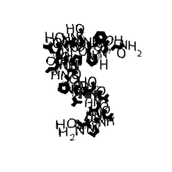 CC[C@H](C)[C@H](NC(=O)[C@@H]1CCCN1C(=O)CNC(=O)[C@@H]1CCCN1C(=O)[C@H](CC(C)C)NC(=O)[C@@H](NC(=O)[C@@H](NC(=O)[C@@H](NC(=O)[C@@H](NC(=O)[C@@H]1CCCN1C(=O)[C@@H](N)CO)C(C)C)C(C)C)C(C)C)[C@@H](C)O)C(=O)N[C@@H](CC(C)C)C(=O)N[C@@H](CO)C(=O)N[C@@H](CO)C(=O)N[C@@H](Cc1ccccc1)C(=O)N1CCC[C@H]1C(=O)N[C@@H](CCC(N)=O)C(=O)O